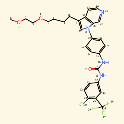 COCCOCCCCc1cn(-c2ccc(NC(=O)Nc3ccc(Cl)c(C(F)(F)F)c3)cc2)c2cnccc12